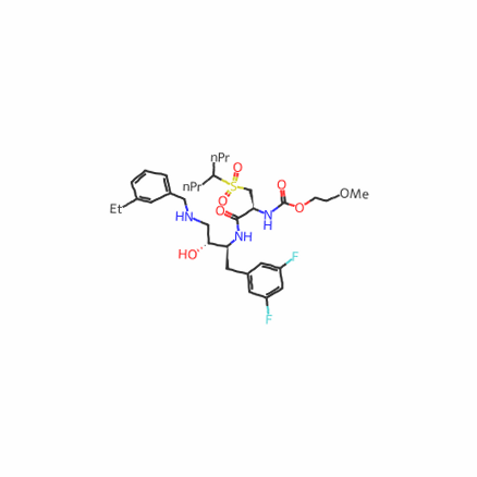 CCCC(CCC)S(=O)(=O)C[C@@H](NC(=O)OCCOC)C(=O)N[C@@H](Cc1cc(F)cc(F)c1)[C@H](O)CNCc1cccc(CC)c1